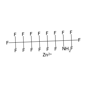 NC(F)(C(F)(F)F)C(F)(F)C(F)(F)C(F)(F)C(F)(F)C(F)(F)C(F)(F)F.[Zn+2]